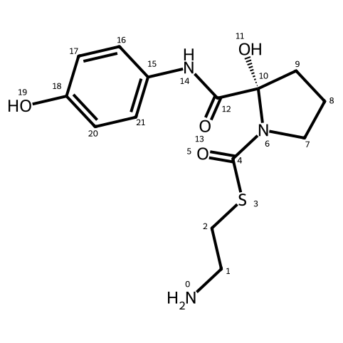 NCCSC(=O)N1CCC[C@]1(O)C(=O)Nc1ccc(O)cc1